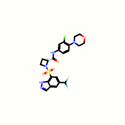 O=C(Nc1ccc(N2CCOCC2)c(Cl)c1)[C@H]1CCN1S(=O)(=O)c1cc(C(F)F)cc2cn[nH]c12